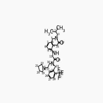 CC(C)CN1Cc2cccc(NCC(=O)N(CCN3CCCC3)Cc3ccccc3C(F)(F)F)c2CC1=O